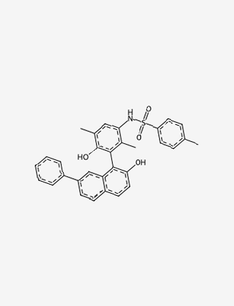 Cc1ccc(S(=O)(=O)Nc2cc(C)c(O)c(-c3c(O)ccc4ccc(-c5ccccc5)cc34)c2C)cc1